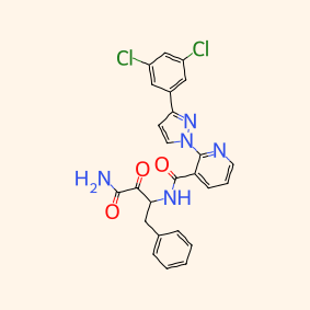 NC(=O)C(=O)C(Cc1ccccc1)NC(=O)c1cccnc1-n1ccc(-c2cc(Cl)cc(Cl)c2)n1